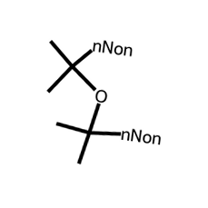 CCCCCCCCCC(C)(C)OC(C)(C)CCCCCCCCC